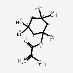 C=C(C)C(=O)OC1(CC)CC(O)(CC)CC(O)(CC)C1